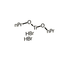 Br.Br.CCC[O][Ti][O]CCC